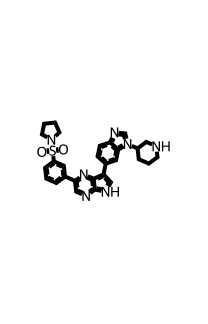 O=S(=O)(c1cccc(-c2cnc3[nH]cc(-c4ccc5ncn(C6CCCNC6)c5c4)c3n2)c1)N1CCCC1